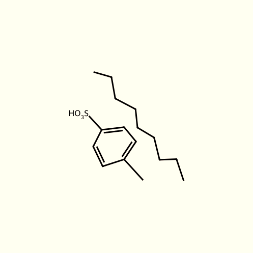 CCCCCCCCC.Cc1ccc(S(=O)(=O)O)cc1